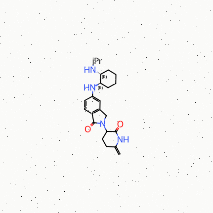 C=C1CCC(N2Cc3cc(N[C@@H]4CCCC[C@H]4NC(C)C)ccc3C2=O)C(=O)N1